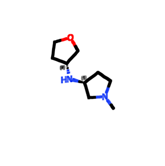 CN1CC[C@H](N[C@@H]2CCOC2)C1